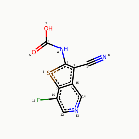 N#Cc1c(NC(=O)O)sc2c(F)cncc12